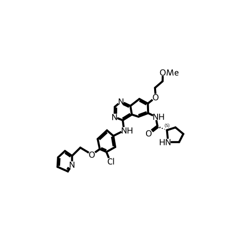 COCCOc1cc2ncnc(Nc3ccc(OCc4ccccn4)c(Cl)c3)c2cc1NC(=O)[C@@H]1CCCN1